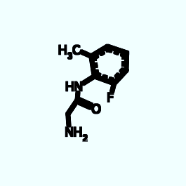 Cc1cccc(F)c1NC(=O)CN